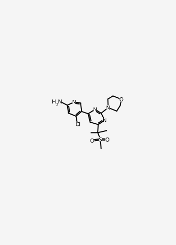 CC(C)(c1cc(-c2cnc(N)cc2Cl)nc(N2CCOCC2)n1)S(C)(=O)=O